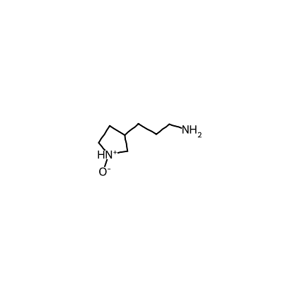 NCCCC1CC[NH+]([O-])C1